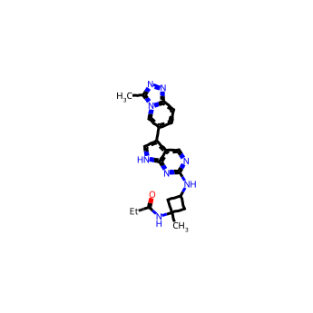 CCC(=O)NC1(C)CC(Nc2ncc3c(-c4ccc5nnc(C)n5c4)c[nH]c3n2)C1